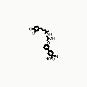 CC(C)(CCCc1ccc(Cl)c(Cl)c1)NC[C@@H](O)COc1cccc(C2C=CC(C#N)(C(=O)O)C=C2)c1